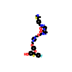 Cc1ncsc1-c1ccc(CNC(=O)[C@@H]2CCCN2C(=O)C(NC(=O)COCCN2CCN(CCOc3ccc(Oc4c(-c5ccc(F)cc5)sc5cc(O)ccc45)cc3)CC2)C(C)(C)C)cc1